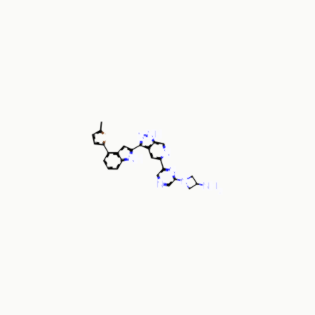 Cc1ccc(-c2cccc3[nH]c(-c4n[nH]c5cnc(-c6cncc(N7CC(N)C7)n6)cc45)cc23)s1